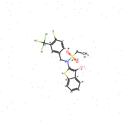 Bc1c(N(Cc2ccc(F)c(C(F)(F)F)c2)S(=O)(=O)CC)sc2ccccc12